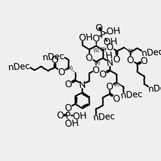 CCCCCCCCCCCCCC(=O)O[C@H](CCCCCCCCCCC)CC(=O)NC1[C@H](OCCN(C(=O)C[C@@H](CCCCCCCCCCC)OC(=O)CCCCCCCCCCCCC)c2cccc(OP(=O)(O)O)c2)OC(CO)[C@@H](OP(=O)(O)O)[C@@H]1OC(=O)C[C@@H](CCCCCCCCCCC)OC(=O)CCCCCCCCCCCCC